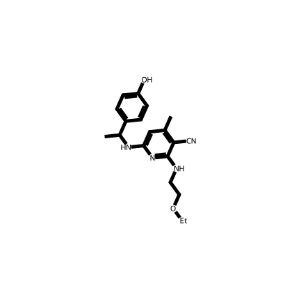 CCOCCNc1nc(NC(C)c2ccc(O)cc2)cc(C)c1C#N